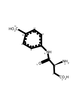 N[C@@H](CC(=O)O)C(=O)Nc1ccc(C(=O)O)cc1